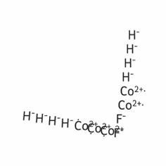 [Co+2].[Co+2].[Co+2].[Co+2].[Co+2].[F-].[F-].[H-].[H-].[H-].[H-].[H-].[H-].[H-].[H-]